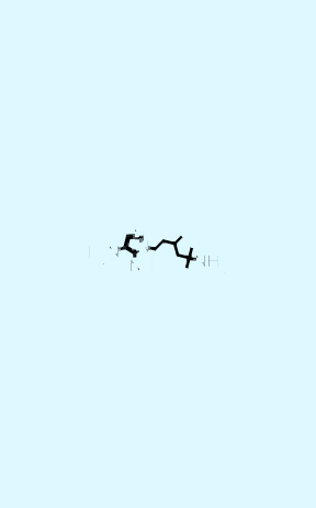 CC(CCn1ncc(N)c1N)CC(C)(C)N